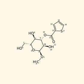 CO[C@H]1O[C@H](CO)[C@@H](O)[C@H](OC(=O)c2cccs2)[C@H]1O